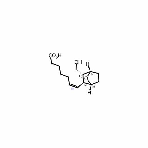 O=C(O)CCCC/C=C\[C@H]1[C@H](CO)[C@@H]2CC[C@H]1O2